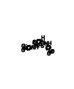 COc1ccc(NC(=S)Nc2ccc([N+](=O)[O-])cc2)cc1NC(=S)Nc1ccc([N+](=O)[O-])cc1